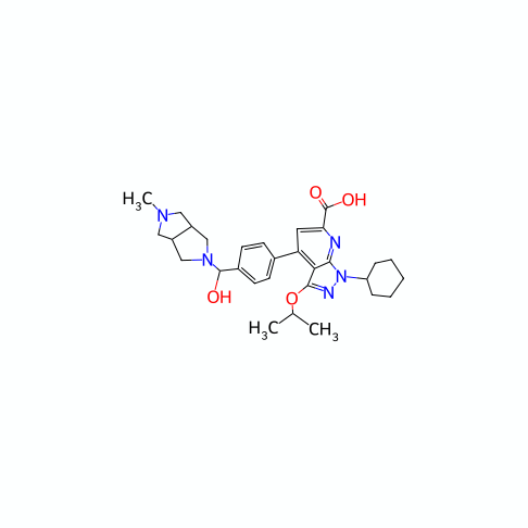 CC(C)Oc1nn(C2CCCCC2)c2nc(C(=O)O)cc(-c3ccc(C(O)N4CC5CN(C)CC5C4)cc3)c12